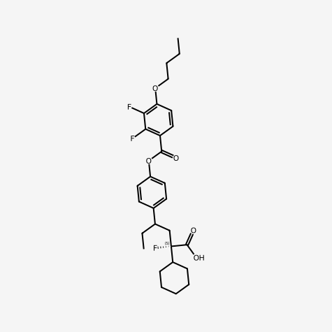 CCCCOc1ccc(C(=O)Oc2ccc(C(CC)C[C@@](F)(C(=O)O)C3CCCCC3)cc2)c(F)c1F